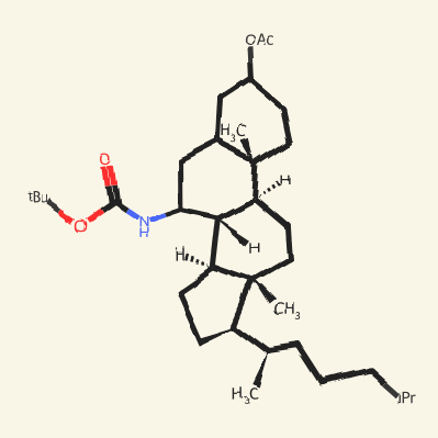 CC(=O)OC1CC[C@@]2(C)C(C1)CC(NC(=O)OC(C)(C)C)[C@H]1[C@@H]3CC[C@H]([C@H](C)CCCC(C)C)[C@@]3(C)CC[C@@H]12